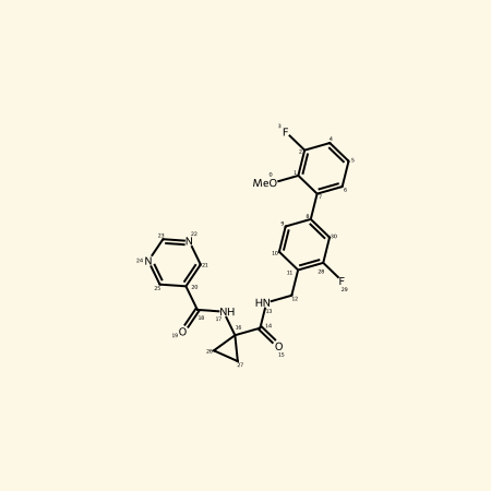 COc1c(F)cccc1-c1ccc(CNC(=O)C2(NC(=O)c3cncnc3)CC2)c(F)c1